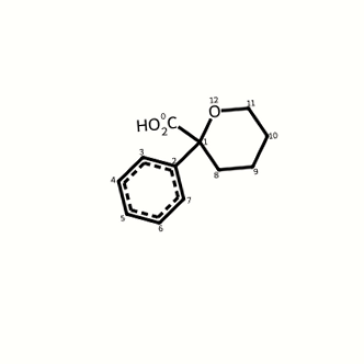 O=C(O)C1(c2ccccc2)CCCCO1